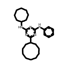 c1ccc(Nc2nc(NC3CCCCCCC3)nc(C3CCCCCCCCC3)n2)cc1